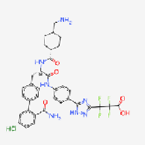 Cl.NC[C@H]1CC[C@H](C(=O)N[C@@H](Cc2ccc(-c3ccccc3C(N)=O)cc2)C(=O)Nc2ccc(-c3nc(C(F)(F)C(F)(F)C(=O)O)n[nH]3)cc2)CC1